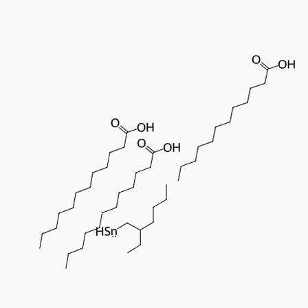 CCCCC(CC)[CH2][SnH].CCCCCCCCCCCC(=O)O.CCCCCCCCCCCC(=O)O.CCCCCCCCCCCC(=O)O